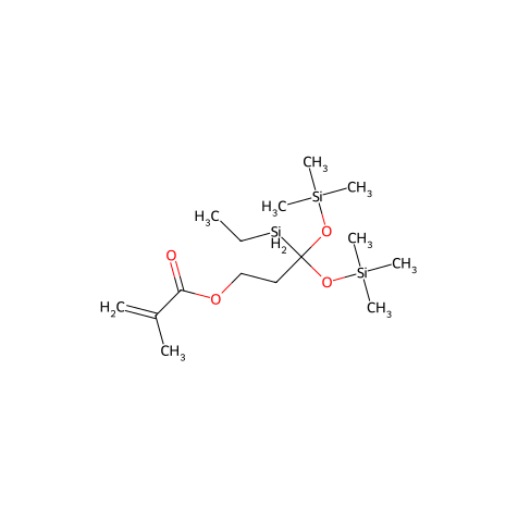 C=C(C)C(=O)OCCC(O[Si](C)(C)C)(O[Si](C)(C)C)[SiH2]CC